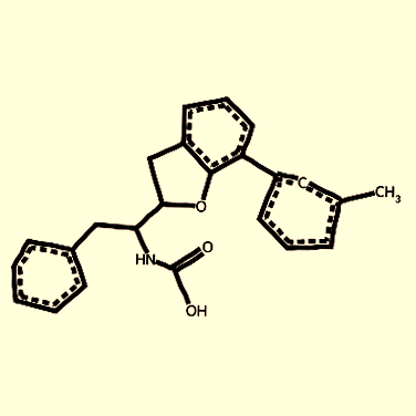 Cc1cccc(-c2cccc3c2OC(C(Cc2ccccc2)NC(=O)O)C3)c1